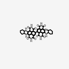 O=C1NC(=O)c2c3c(c4c5c(c(-c6cc7c8c(c9c(c%10c8c6C(=O)NC%10=O)NC6CCCCC6N9)C(=O)NC7=O)cc1c25)C(=O)NC4=O)NC1CCCCC1N3